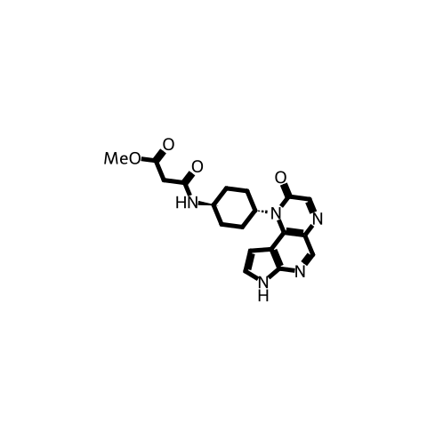 COC(=O)CC(=O)N[C@H]1CC[C@H](n2c(=O)cnc3cnc4[nH]ccc4c32)CC1